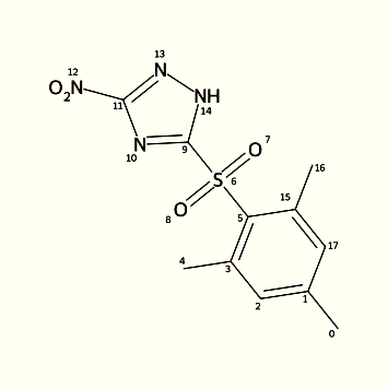 Cc1cc(C)c(S(=O)(=O)c2nc([N+](=O)[O-])n[nH]2)c(C)c1